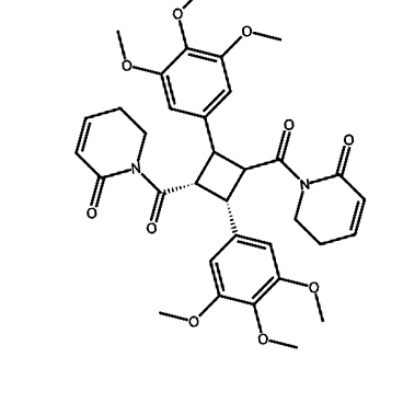 COc1cc(C2C(C(=O)N3CCC=CC3=O)[C@H](c3cc(OC)c(OC)c(OC)c3)[C@@H]2C(=O)N2CCC=CC2=O)cc(OC)c1OC